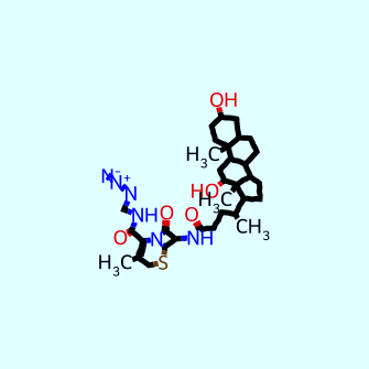 CC1=C(C(=O)NCN=[N+]=[N-])N2C(=O)C(NC(=O)CCC(C)C3CCC4C5CCC6CC(O)CCC6(C)C5CC(O)C34C)C2SC1